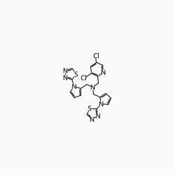 Clc1cnc(CN(Cc2cccn2-c2nncs2)Cc2cccn2-c2nncs2)c(Cl)c1